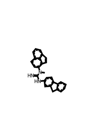 CN(C(=N)Nc1ccc2c(c1)Cc1ccccc1-2)c1ccc2cccc3c2c1C=C3